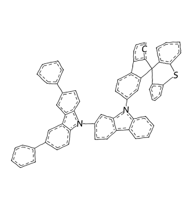 c1ccc(-c2ccc3c(c2)c2cc(-c4ccccc4)ccc2n3-c2ccc3c4ccccc4n(-c4ccc5c(c4)C4(c6ccccc6Sc6ccccc64)c4ccccc4-5)c3c2)cc1